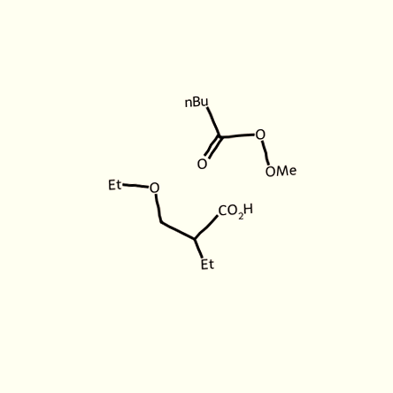 CCCCC(=O)OOC.CCOCC(CC)C(=O)O